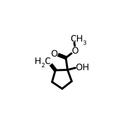 C=C1CCCC1(O)C(=O)OC